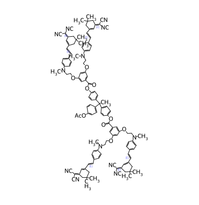 [C-]#[N+]/C(C#N)=C1C=C(/C=C/c2ccc(N(C)CCOc3cc(OCCN(C)c4ccc(/C=C/C5=CC(=C(\C#N)[N+]#[C-])/CC(C)(C)C5)cc4)cc(C(=O)Oc4ccc(C(C)(c5ccc(OC(C)=O)cc5)c5ccc(OC(=O)c6cc(OCCN(C)c7ccc(/C=C/C8=CC(=C(C#N)C#N)CC(C)(C)C8)cc7)cc(OCCN(C)c7ccc(/C=C/C8=CC(=C(\C#N)[N+]#[C-])/CC(C)(C)C8)cc7)c6)cc5)cc4)c3)cc2)CC(C)(C)C\1